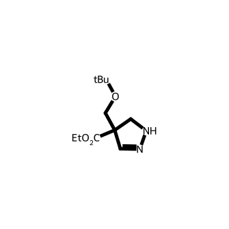 CCOC(=O)C1(COC(C)(C)C)C=NNC1